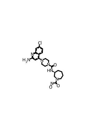 Nc1cc(N2CCN(C(=O)N[C@H]3CCCCN(C(=O)N=O)C3)CC2)c2ccc(Cl)cc2n1